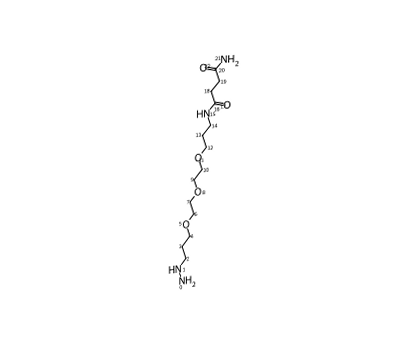 NNCCCOCCOCCOCCCNC(=O)CCC(N)=O